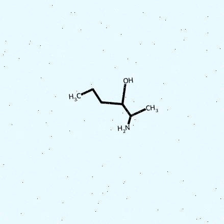 CCCC(O)C(C)N